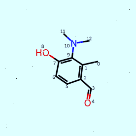 Cc1c(C=O)ccc(O)c1N(C)C